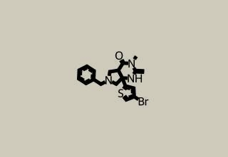 C=C1NC2(c3cc(Br)cs3)CN(Cc3ccccc3)CC2C(=O)N1C